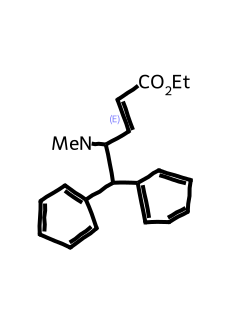 CCOC(=O)/C=C/C(NC)C(c1ccccc1)c1ccccc1